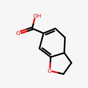 O=C(O)C1=CCC2CCOC2=C1